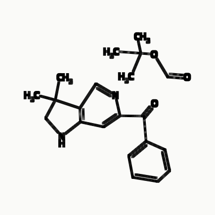 CC(C)(C)OC=O.CC1(C)CNc2cc(C(=O)c3ccccc3)ncc21